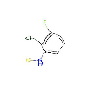 Fc1cccc(NS)c1Cl